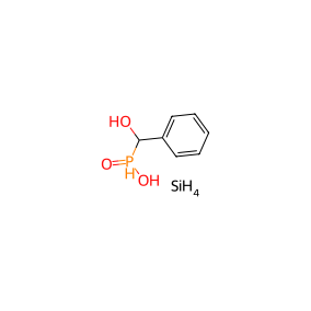 O=[PH](O)C(O)c1ccccc1.[SiH4]